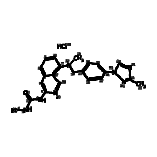 CCNC(=O)Nc1cc2cccc(N(C)Cc3ccc(-n4cnc(C)n4)cc3)c2cn1.Cl